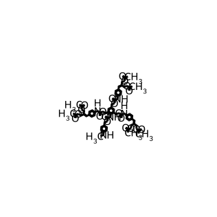 CNc1ccc(COC(=O)Nc2c(COC(=O)Nc3ccc(C=C(COC(C)=O)COC(C)=O)cc3)cc(COC(=O)Nc3ccc(C=C(COC(C)=O)COC(C)=O)cc3)cc2COC(=O)Nc2ccc(C=C(COC(C)=O)COC(C)=O)cc2)cc1